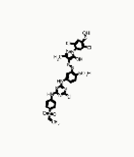 C=CS(=O)(=O)c1ccc(Nc2nc(Cl)nc(Nc3ccc(S(=O)(=O)O)c(/N=N/c4c(C)nn(-c5cc(Cl)c(SO)cc5Cl)c4O)c3)n2)cc1